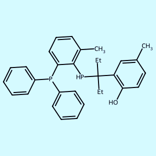 CCC(CC)(Pc1c(C)cccc1P(c1ccccc1)c1ccccc1)c1cc(C)ccc1O